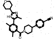 Cc1cc(C)c(-c2[nH]c(C3CCOCC3)nc2C)cc1C(=O)N1CCC(c2ccc(C#N)cc2)CC1